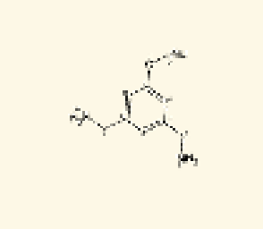 CCCCOc1cc(CN)cc(CN)c1